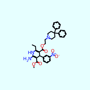 CCC1=C(C(=O)OCCN2CCC(c3ccccc3)(c3ccccc3)CC2)C(c2cccc([N+](=O)[O-])c2)C(C(=O)OC)=C(N)N1